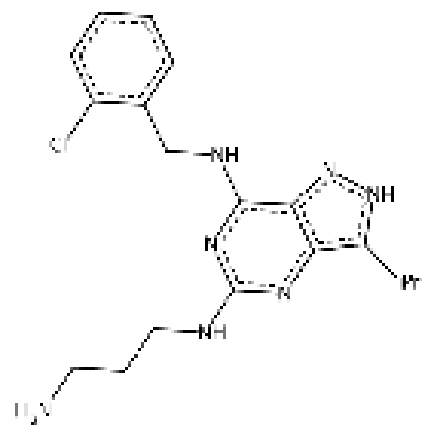 CC(C)c1[nH]nc2c(NCc3ccccc3Cl)nc(NCCCN)nc12